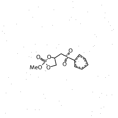 COP1(=O)OCC(CS(=O)(=O)c2ccccc2)O1